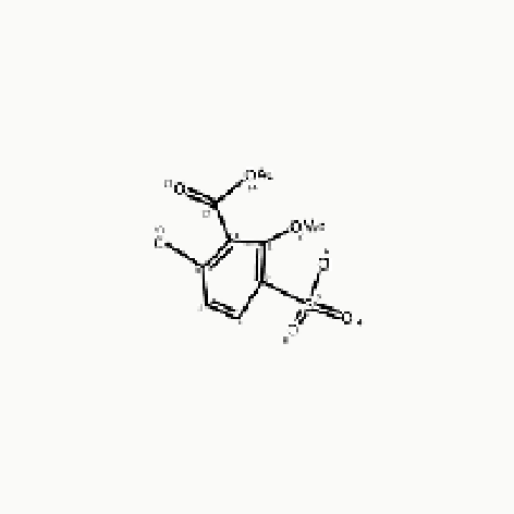 COc1c(S(=O)(=O)Cl)ccc(Cl)c1C(=O)OC(C)=O